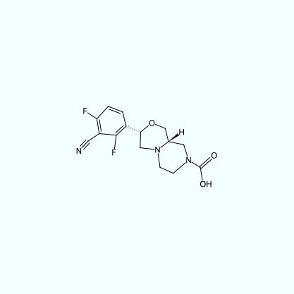 N#Cc1c(F)ccc([C@H]2CN3CCN(C(=O)O)C[C@H]3CO2)c1F